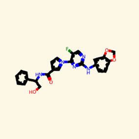 O=C(NC(CO)c1ccccc1)c1ccn(-c2nc(Nc3ccc4c(c3)OCO4)ncc2F)c1